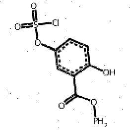 O=C(OP)c1cc(OS(=O)(=O)Cl)ccc1O